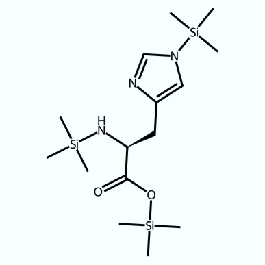 C[Si](C)(C)N[C@@H](Cc1cn([Si](C)(C)C)cn1)C(=O)O[Si](C)(C)C